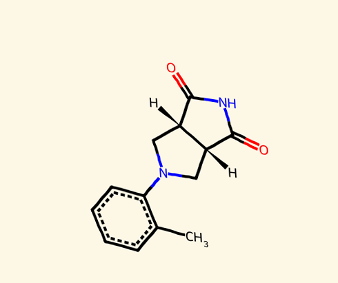 Cc1ccccc1N1C[C@@H]2C(=O)NC(=O)[C@@H]2C1